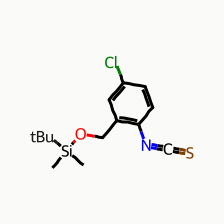 CC(C)(C)[Si](C)(C)OCc1cc(Cl)ccc1N=C=S